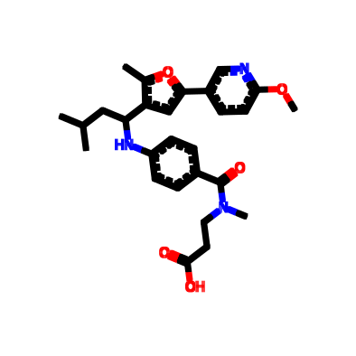 COc1ccc(-c2cc(C(CC(C)C)Nc3ccc(C(=O)N(C)CCC(=O)O)cc3)c(C)o2)cn1